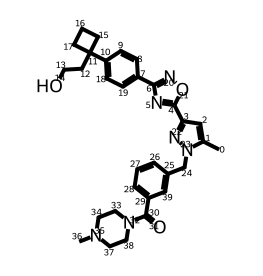 Cc1cc(-c2nc(-c3ccc(C4(CCO)CCC4)cc3)no2)nn1Cc1cccc(C(=O)N2CCN(C)CC2)c1